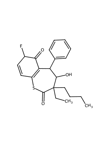 CCCCC1(CC)C(=O)SC2=C(C(=O)C(F)C=C2)C(c2ccccc2)C1O